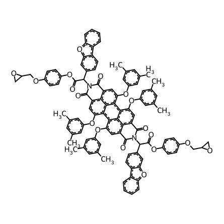 Cc1cc(C)cc(Oc2cc3c4c(cc(Oc5cc(C)cc(C)c5)c5c6c(Oc7cc(C)cc(C)c7)cc7c8c(cc(Oc9cc(C)cc(C)c9)c(c2c45)c86)C(=O)N(C(C(=O)Oc2ccc(OCC4CO4)cc2)c2ccc4c(c2)oc2ccccc24)C7=O)C(=O)N(C(C(=O)Oc2ccc(OCC4CO4)cc2)c2ccc4c(c2)oc2ccccc24)C3=O)c1